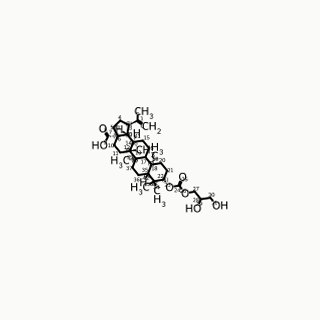 C=C(C)[C@@H]1CC[C@]2(C(=O)O)CC[C@]3(C)[C@H](CCC4[C@@]5(C)CC[C@H](OC(=O)OCC(O)CO)C(C)(C)[C@@H]5CC[C@]43C)[C@@H]12